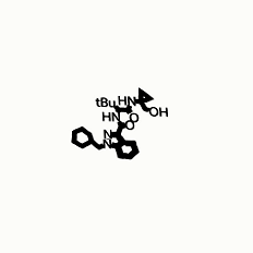 CC(C)(C)C(NC(=O)c1nn(CC2CCCCC2)c2ccccc12)C(=O)NC1(CO)CC1